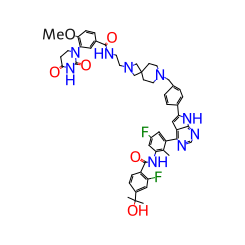 COc1ccc(C(=O)NCCN2CC3(CCN(Cc4ccc(-c5cc6c(-c7cc(F)cc(NC(=O)c8ccc(C(C)(C)O)cc8F)c7C)ncnc6[nH]5)cc4)CC3)C2)cc1N1CCC(=O)NC1=O